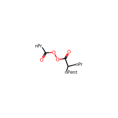 CCCCCC(CCC)C(=O)OOC(=O)CCC